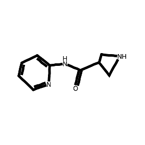 O=C(Nc1ccccn1)C1CNC1